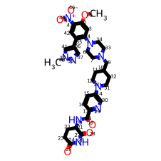 COc1cc(N2CCN(CC3CCN(c4ccc(C(=O)NC5CCC(=O)NC5=O)nc4)CC3)CC2)c(-c2cnn(C)c2)cc1[N+](=O)[O-]